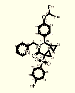 O=C(N(Cc1ccccn1)[C@@H](c1ccc(OC(F)F)cc1)C1CC1)C1(S(=O)(=O)c2ccc(F)cc2)CC1